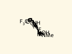 CNC(O)c1cn(C[C@@H](F)CCc2nnc(NC(=O)Cc3cccc(OC(F)(F)F)c3)s2)nn1